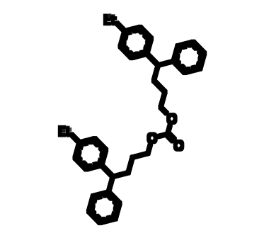 CCc1ccc(C(CCCOC(=O)OCCCC(c2ccccc2)c2ccc(CC)cc2)c2ccccc2)cc1